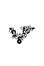 CCOC(=O)N1CCN(C(=O)[C@H](CCC(=O)O)[AsH]C(=O)c2cc(OCC(=O)N3CCc4nc(C)oc4C3)c3ccccc3n2)CC1